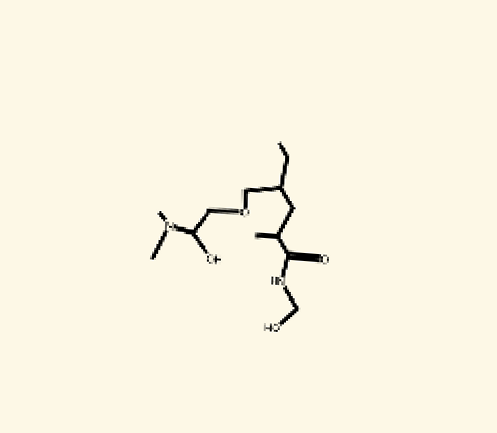 CCC(COCC(O)N(C)C)CC(C)C(=O)NCO